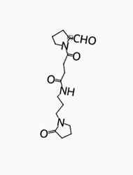 O=C[C@@H]1CCCN1C(=O)CCC(=O)NCCCN1CCCC1=O